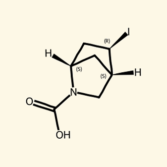 O=C(O)N1C[C@@H]2C[C@H]1C[C@H]2I